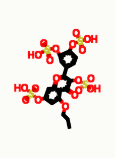 CCCOc1cc(OS(=O)(=O)O)cc2oc(-c3ccc(OS(=O)(=O)O)c(OS(=O)(=O)O)c3)c(OS(=O)(=O)O)c(=O)c12